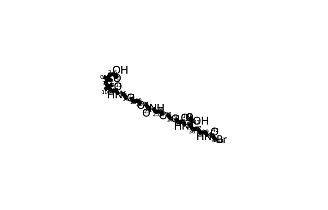 CC(C)(CC(=O)O)CC(C)(C)CC(=O)NCCOCCOCC(=O)NCCOCCOCC(=O)NC(CCCCNC(=O)CBr)C(=O)O